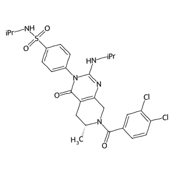 CC(C)Nc1nc2c(c(=O)n1-c1ccc(S(=O)(=O)NC(C)C)cc1)C[C@@H](C)N(C(=O)c1ccc(Cl)c(Cl)c1)C2